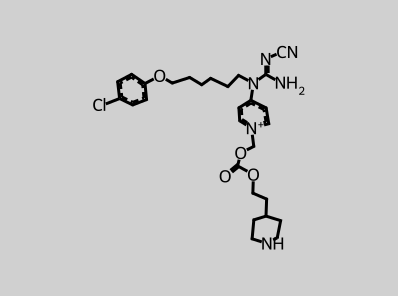 N#CN=C(N)N(CCCCCCOc1ccc(Cl)cc1)c1cc[n+](COC(=O)OCCC2CCNCC2)cc1